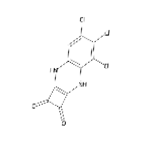 O=c1c2c(c1=O)Nc1c(cc(Cl)c(Cl)c1Cl)N2